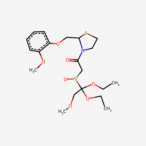 CCOC(COC)(OCC)[S+]([O-])CC(=O)N1CCSC1COc1ccccc1OC